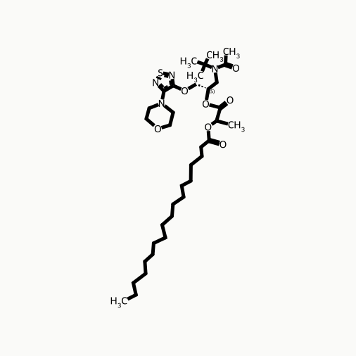 CCCCCCCCCCCCCCCCCC(=O)OC(C)C(=O)O[C@H](COc1nsnc1N1CCOCC1)CN(C(C)=O)C(C)(C)C